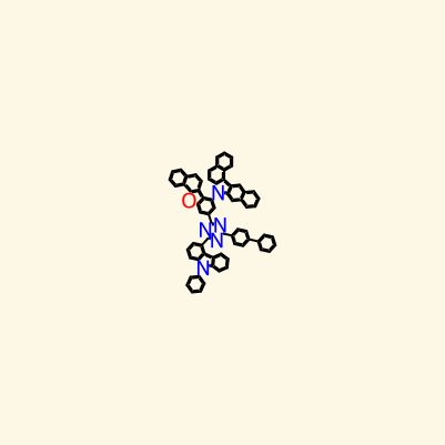 c1ccc(-c2ccc(-c3nc(-c4cc(-n5c6cc7ccccc7cc6c6c7ccccc7ccc65)c5c(c4)oc4c6ccccc6ccc45)nc(-c4cccc5c4c4ccccc4n5-c4ccccc4)n3)cc2)cc1